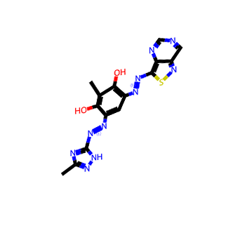 Cc1n[nH]c(/N=N/c2cc(/N=N/c3snc4cncnc34)c(O)c(C)c2O)n1